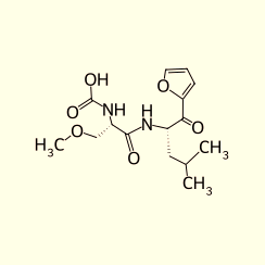 COC[C@H](NC(=O)O)C(=O)N[C@@H](CC(C)C)C(=O)c1ccco1